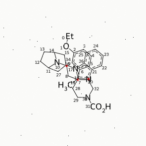 CCOc1cccc(C2(CCN3C4CCC3CC(n3c(C)nc5ccccc53)C4)CCN(C(=O)O)CC2)c1